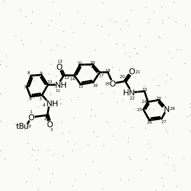 CC(C)(C)OC(=O)Nc1ccccc1NC(=O)c1ccc(COC(=O)NCc2cccnc2)cc1